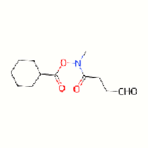 CN(OC(=O)C1CCCCC1)C(=O)CCC=O